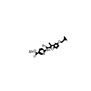 COC(=O)c1ccc(NC(c2oc3ccc(OCC4CC4)cc3c2C)C(C)C)nc1